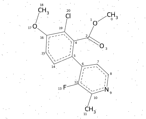 COC(=O)c1c(-c2ccnc(C)c2F)ccc(OC)c1Cl